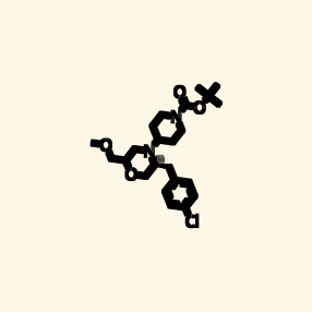 COCC1CN(C2CCN(C(=O)OC(C)(C)C)CC2)[C@@H](Cc2ccc(Cl)cc2)CO1